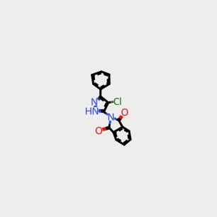 O=C1c2ccccc2C(=O)N1c1[nH]nc(-c2ccccc2)c1Cl